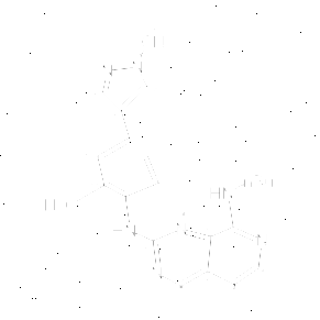 CCCCNc1nccc2cnc(Nc3ccc(-c4cnn(C)c4)cc3C)nc12